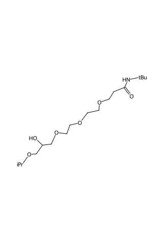 CC(C)OCC(O)COCCOCCOCCC(=O)NC(C)(C)C